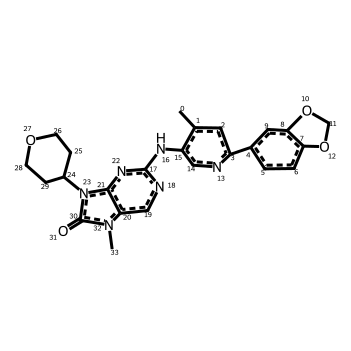 Cc1cc(-c2ccc3c(c2)OCO3)ncc1Nc1ncc2c(n1)n(C1CCOCC1)c(=O)n2C